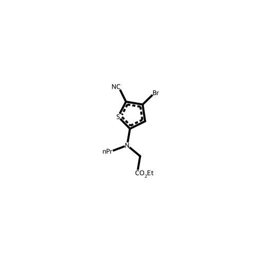 CCCN(CC(=O)OCC)c1cc(Br)c(C#N)s1